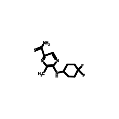 Cc1nc(C(N)=S)cnc1NC1CCC(F)(F)CC1